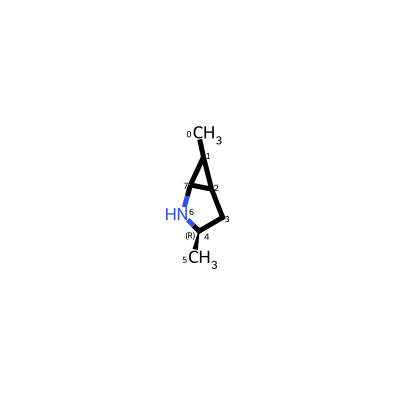 CC1C2C[C@@H](C)NC12